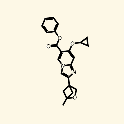 CC12CC(c3cn4cc(C(=O)Oc5ccccc5)c(OC5CC5)cc4n3)(CO1)C2